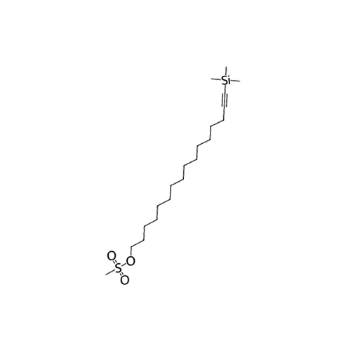 C[Si](C)(C)C#CCCCCCCCCCCCCCCOS(C)(=O)=O